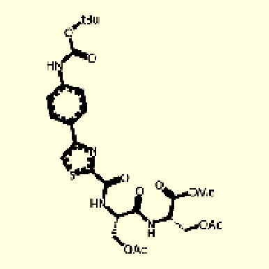 COC(=O)[C@H](COC(C)=O)NC(=O)[C@H](COC(C)=O)NC(=O)c1nc(-c2ccc(NC(=O)OC(C)(C)C)cc2)cs1